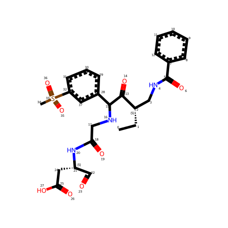 CC[C@@H](CNC(=O)c1ccccc1)C(=O)C(NCC(=O)N[C@H](C=O)CC(=O)O)c1cccc(S(C)(=O)=O)c1